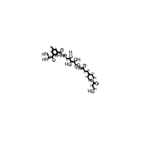 CCCN(CCC)C(=O)c1cc(C)cc(C(=O)NOC[C@H](O)[C@H](O)C(O)CONC(=O)CCC2CCN(C(=O)CCO)CC2)c1